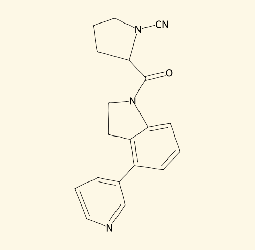 N#CN1CCCC1C(=O)N1CCc2c(-c3cccnc3)cccc21